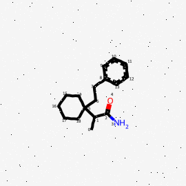 CC(C(N)=O)C1(CCc2ccccc2)CCCCC1